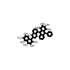 Cc1c(O)c(C)c2c(-c3ccc4c(-c5c6ccccc6c(-c6ccccc6)c6c(O)c(O)c(O)c(O)c56)cccc4c3)c(O)c(O)c(O)c2c1O